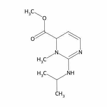 COC(=O)C1C=CN=C(NC(C)C)N1C